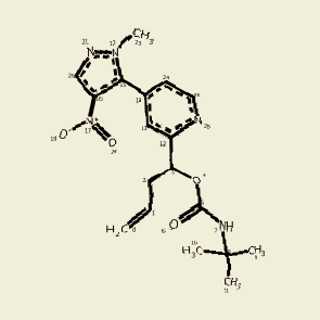 C=CC[C@H](OC(=O)NC(C)(C)C)c1cc(-c2c([N+](=O)[O-])cnn2C)ccn1